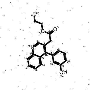 CC(C)CCOC(=O)Cc1cnc2ccccc2c1-c1cccc(O)c1